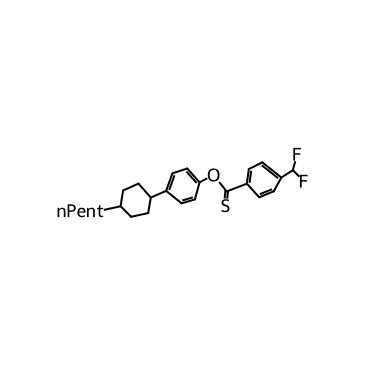 CCCCCC1CCC(c2ccc(OC(=S)c3ccc(C(F)F)cc3)cc2)CC1